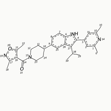 Cc1cc(-c2[nH]c3ccc(C4CCN(C(=O)c5c(C)noc5C)CC4)cc3c2C(C)C)cc(C)n1